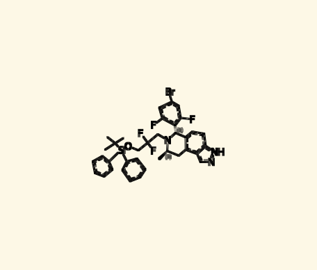 C[C@@H]1Cc2c(ccc3[nH]ncc23)[C@@H](c2c(F)cc(Br)cc2F)N1CC(F)(F)CO[Si](c1ccccc1)(c1ccccc1)C(C)(C)C